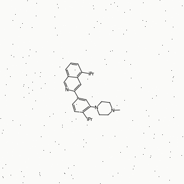 CC(C)c1ccc(-c2cc3c(C(C)C)cccc3cn2)cc1N1CCN(C)CC1